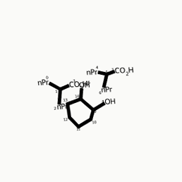 CCCC(CCC)C(=O)O.CCCC(CCC)C(=O)O.OC1CCCCC1O